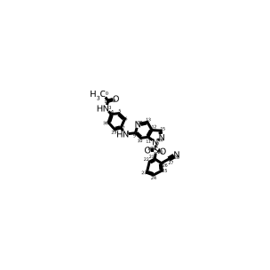 CC(=O)Nc1ccc(Nc2cc3c(cn2)cnn3S(=O)(=O)c2ccccc2C#N)cc1